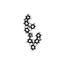 c1ccc(N(c2cccc(-c3nsc(-c4cccc(N(c5ccccc5)c5ccc6sc7ccccc7c6c5)c4)n3)c2)c2ccc3sc4ccccc4c3c2)cc1